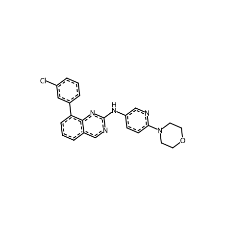 Clc1cccc(-c2cccc3cnc(Nc4ccc(N5CCOCC5)nc4)nc23)c1